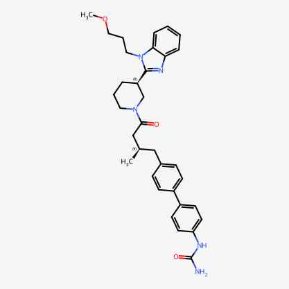 COCCCn1c([C@@H]2CCCN(C(=O)C[C@H](C)Cc3ccc(-c4ccc(NC(N)=O)cc4)cc3)C2)nc2ccccc21